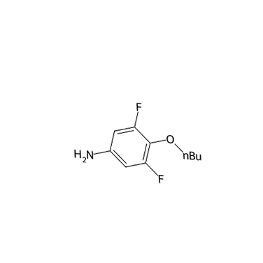 CCCCOc1c(F)cc(N)cc1F